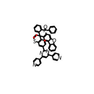 O=P1(c2ccccc2)c2ccccc2C2(c3ccccc3Sc3cc(-c4nc(-c5ccncc5)cc(-c5ccncc5)n4)ccc32)c2cc3c(cc21)oc1ccccc13